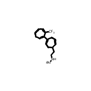 CCC(C)NCCC1C=CCC(C2=CCC=CC=C2C(F)(F)F)=CC1